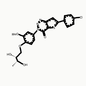 COc1cc(-n2nnc3cc(-c4ccc(Cl)cc4)sc3c2=O)ccc1OC[C@@H](O)[C@@H](C)O